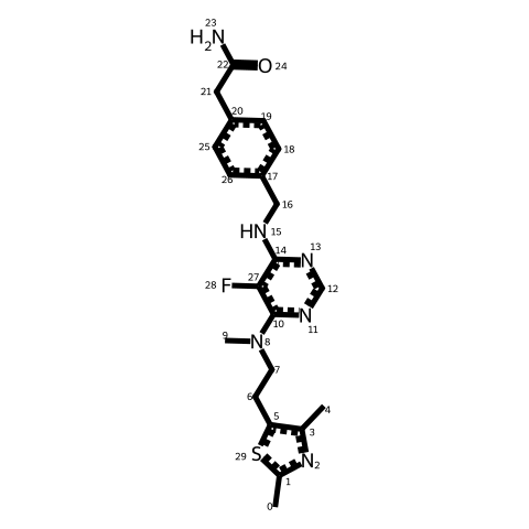 Cc1nc(C)c(CCN(C)c2ncnc(NCc3ccc(CC(N)=O)cc3)c2F)s1